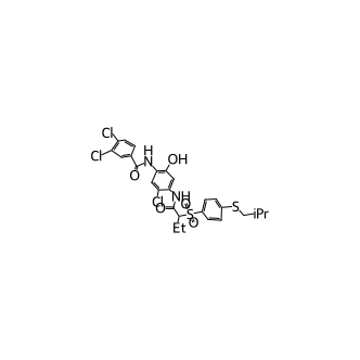 CCC(C(=O)Nc1cc(O)c(NC(=O)c2ccc(Cl)c(Cl)c2)cc1Cl)S(=O)(=O)c1ccc(SCC(C)C)cc1